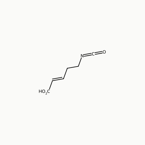 O=C=NCCC=CC(=O)O